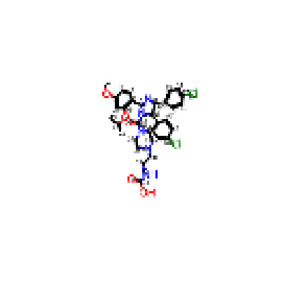 COc1ccc(C2=N[C@@H](c3ccc(Cl)cc3)[C@@H](c3ccc(Cl)cc3)N2C(=O)N2CCN(CCNC(=O)O)CC2)c(OC(C)C)c1